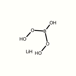 OOB(O)OO.[LiH]